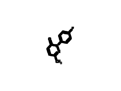 Cc1ccc(=O)n(-c2ccc(F)cc2)n1